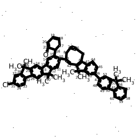 CC1(C)C2=C(CC#CC/C(c3cc4c(c5c3C3CC=CC=C3O5)-c3cc5c(cc3C4(C)C)-c3ccc(Cl)cc3C5(C)C)=C\2)c2ccc(-c3ccc4c(c3)C(C)(C)c3ccccc3-4)cc21